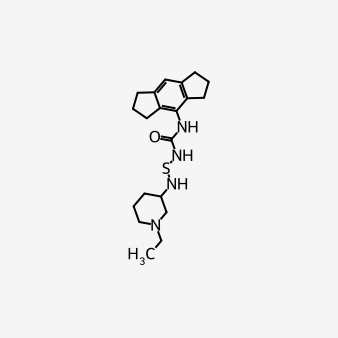 CCN1CCCC(NSNC(=O)Nc2c3c(cc4c2CCC4)CCC3)C1